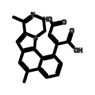 CC1=NCCn2c1cc1cc(C)c3cccc(C(=CC(=O)O)C(=O)O)c3c12